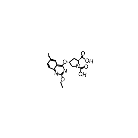 CCOc1nc(O[C@@H]2C[C@@H](C(=O)O)N(C(=O)O)C2)c2cc(I)ccc2n1